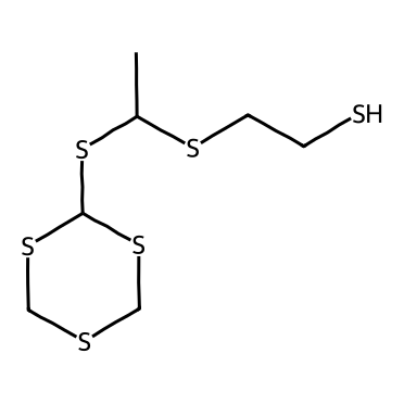 CC(SCCS)SC1SCSCS1